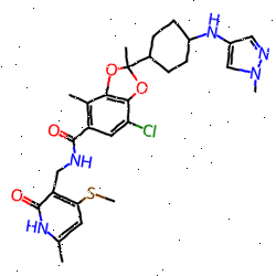 CSc1cc(C)[nH]c(=O)c1CNC(=O)c1cc(Cl)c2c(c1C)OC(C)(C1CCC(Nc3cnn(C)c3)CC1)O2